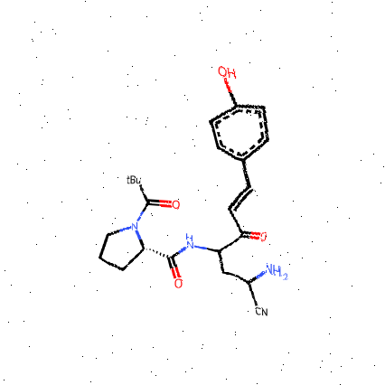 CC(C)(C)C(=O)N1CCC[C@H]1C(=O)NC(CC(N)C#N)C(=O)/C=C/c1ccc(O)cc1